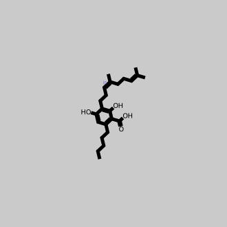 CCCCCc1cc(O)c(CC/C=C(/C)CCC=C(C)C)c(O)c1C(=O)O